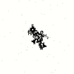 CN(C(=O)[C@H](CC1CC1)N=[N+]=[N-])[C@@H](CC1CC1)C(=O)N1C[C@@]2(C[C@H]1C(N)=O)Oc1cc(F)cc(F)c1NC2=O